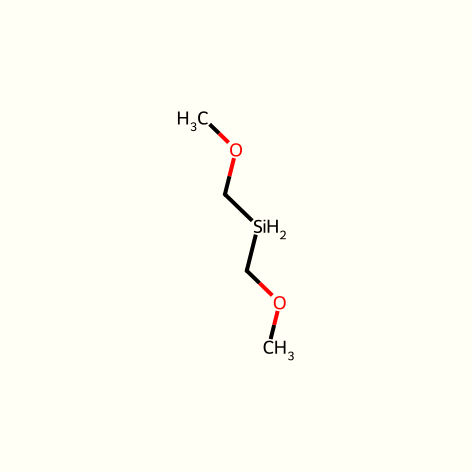 COC[SiH2]COC